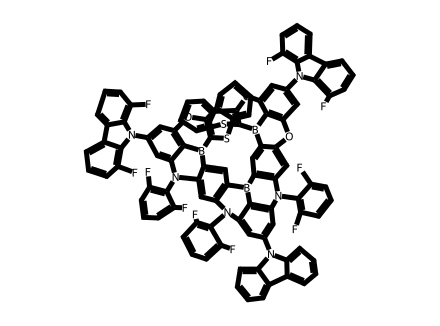 Fc1cccc(F)c1N1c2cc3c(cc2B2c4sc5ccccc5c4Oc4cc(-n5c6c(F)cccc6c6cccc(F)c65)cc1c42)B1c2cc4c(cc2N(c2c(F)cccc2F)c2cc(-n5c6ccccc6c6ccccc65)cc(c21)N3c1c(F)cccc1F)Oc1cc(-n2c3c(F)cccc3c3cccc(F)c32)cc2c1B4c1sc3ccccc3c1O2